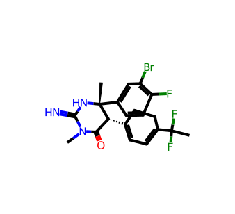 CN1C(=N)N[C@](C)(c2ccc(F)c(Br)c2)[C@H](C2=CC=C(C(C)(F)F)CC2)C1=O